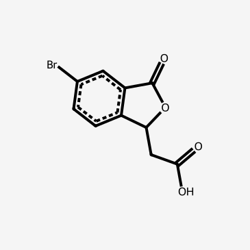 O=C(O)CC1OC(=O)c2cc(Br)ccc21